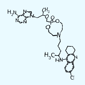 CC(CCCN1CCOP(=O)(CO[C@H](C)Cn2cnc3c(N)ncnc32)OCC1)Nc1c2c(nc3cc(Cl)ccc13)CCCC2